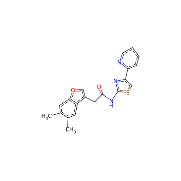 Cc1cc2occ(CC(=O)Nc3nc(-c4ccccn4)cs3)c2cc1C